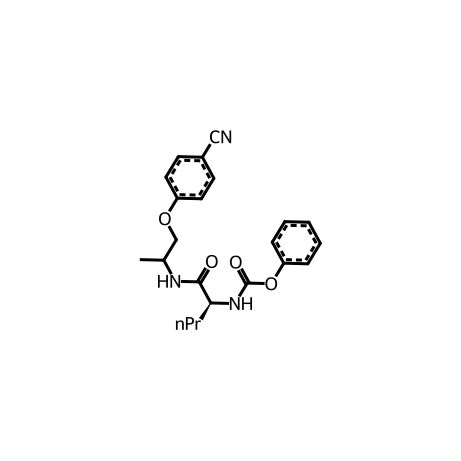 CCC[C@H](NC(=O)Oc1ccccc1)C(=O)NC(C)COc1ccc(C#N)cc1